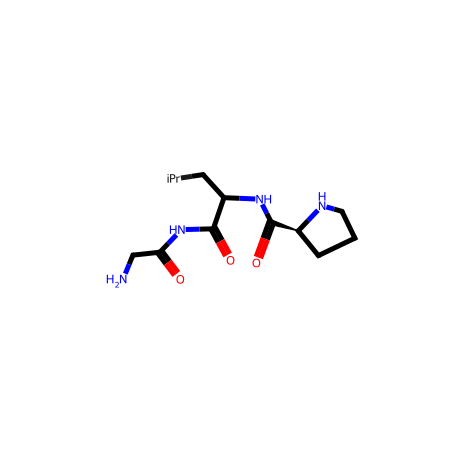 CC(C)CC(NC(=O)[C@@H]1CCCN1)C(=O)NC(=O)CN